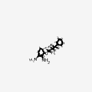 Nc1cccc(OC(F)(F)C(F)(F)C(F)(F)c2ccccc2)c1N